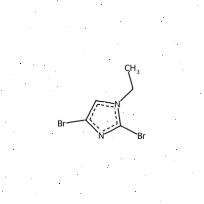 CCn1cc(Br)nc1Br